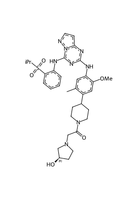 COc1cc(C2CCN(C(=O)CN3CC[C@@H](O)C3)CC2)c(C)cc1Nc1nc(Nc2ccccc2S(=O)(=O)C(C)C)n2nccc2n1